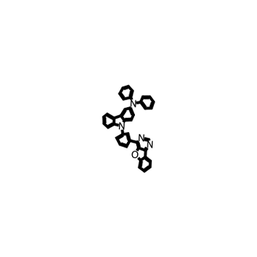 c1ccc(N(c2ccccc2)c2ccc3c(c2)c2ccccc2n3-c2cccc(-c3ncnc4c3oc3ccccc34)c2)cc1